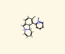 CC1=C(c2cccc[n+]2C)C2C(=CN3C=CC=CC23)C=C1